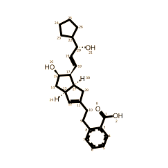 O=C(O)c1ccccc1CCC1=C[C@H]2C[C@@H](O)[C@@H](/C=C/[C@@H](O)C3CCCC3)[C@H]2C1